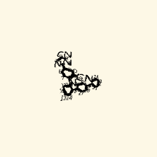 N#Cc1cnc(-c2ccc(-n3c4ccccc4c4ccc(-c5ccccc5)cc43)c(C#N)c2)nc1